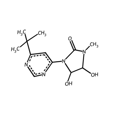 CN1C(=O)N(c2cc(C(C)(C)C)ncn2)C(O)C1O